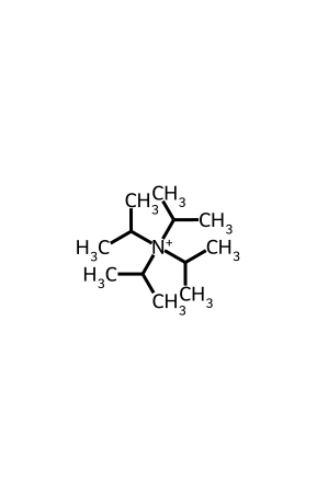 CC(C)[N+](C(C)C)(C(C)C)C(C)C